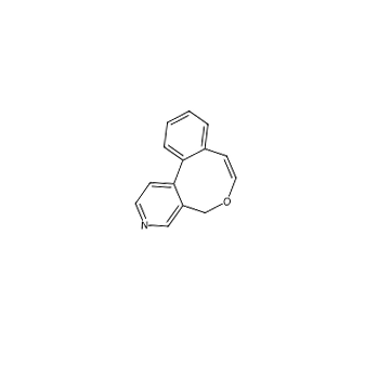 C1=Cc2ccccc2-c2ccncc2CO1